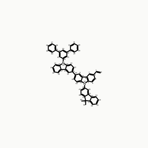 C=Cc1ccc2c(c1)c1cc(-c3ccc4c(c3)c3ccccc3n4-c3cc(-c4ccccc4)cc(-c4ccccc4)c3)ccc1n2-c1ccc2c(c1)-c1ccccc1C2(C)C